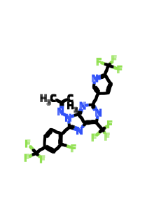 CC(C)=Nn1c(-c2ccc(C(F)(F)F)cc2F)nc2c(C(F)(F)F)nc(-c3ccc(C(F)(F)F)nc3)nc21